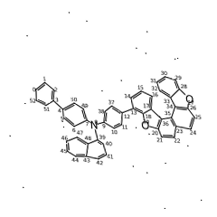 c1ccc(-c2ccc(N(c3ccc(-c4cccc5c4oc4ccc6ccc7oc8ccccc8c7c6c45)cc3)c3cccc4ccccc34)cc2)cc1